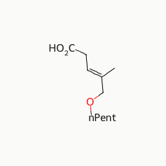 CCCCCOCC(C)=CCC(=O)O